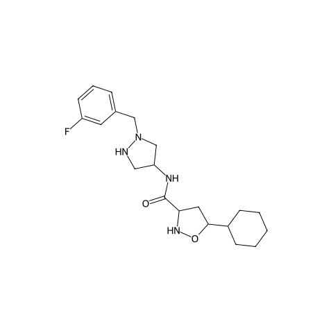 O=C(NC1CNN(Cc2cccc(F)c2)C1)C1CC(C2CCCCC2)ON1